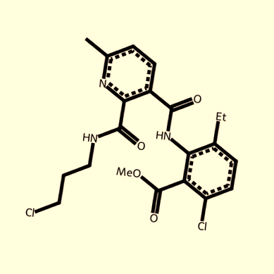 CCc1ccc(Cl)c(C(=O)OC)c1NC(=O)c1ccc(C)nc1C(=O)NCCCCl